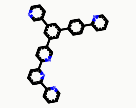 c1ccc(-c2ccc(-c3cc(-c4cccnc4)cc(-c4ccc(-c5cccc(-c6ccccn6)n5)nc4)c3)cc2)nc1